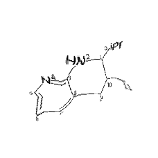 CC(C)C1Nc2ncccc2CC1C